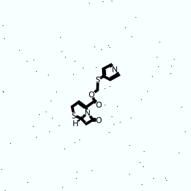 O=C(OCSc1ccncc1)C1=CCS[C@H]2CC(=O)N12